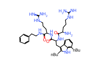 CCCCc1[nH]c2c(CCCC)cccc2c1CC(NC(=O)C(N)CCCNC(=N)N)C(=O)NC(CCCNC(=N)N)C(=O)NCCc1ccccc1